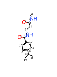 CNC(=O)CCNC(=O)c1ccc(C(C)C)cc1